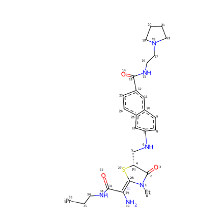 CCN1C(=O)[C@@H](CNc2ccc3cc(C(=O)NCCN4CCCC4)ccc3c2)S/C1=C(/N)C(=O)NCCC(C)C